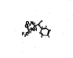 CC(c1ccccc1)C(NC(=O)C(F)(F)F)[N+](=O)[O-]